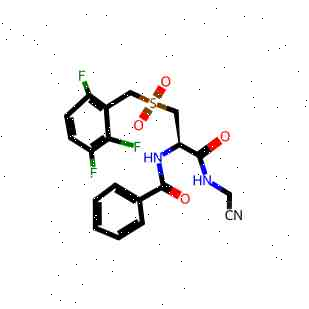 N#CCNC(=O)[C@H](CS(=O)(=O)Cc1c(F)ccc(F)c1F)NC(=O)c1ccccc1